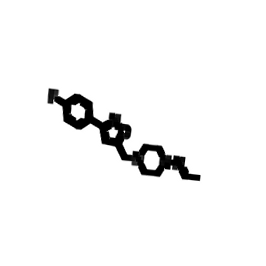 C/C=N/N1CCN(Cc2cc(-c3ccc(F)cc3)no2)CC1